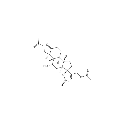 CC(=O)CC[C@@]1(C)C(=O)CC[C@H]2[C@@H]3CC[C@](OC(C)=O)(C(=O)COC(C)=O)[C@@]3(C)C[C@H](O)[C@@]21F